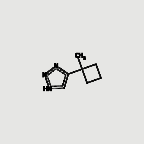 CC1(c2c[nH]nn2)CCC1